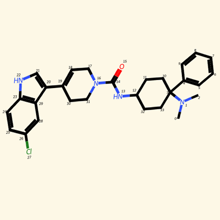 CN(C)C1(c2ccccc2)CCC(NC(=O)N2CC=C(c3c[nH]c4ccc(Cl)cc34)CC2)CC1